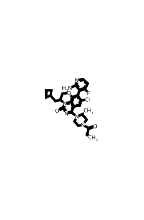 C=CC(=O)N1CCN(c2nc(=O)n3c4c(c(-c5c(F)ccnc5N)c(Cl)cc24)OCC3CC2CCC2)[C@@H](C)C1